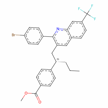 CCC[C@@H](Cc1cc2ccc(C(F)(F)F)cc2nc1-c1ccc(Br)cc1)c1ccc(C(=O)OC)cc1